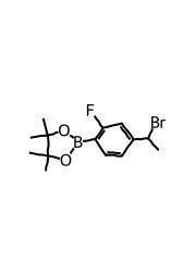 CC(Br)c1ccc(B2OC(C)(C)C(C)(C)O2)c(F)c1